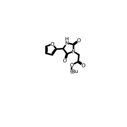 CC(C)(C)OC(=O)CN1C(=O)NC(c2ccco2)C1=O